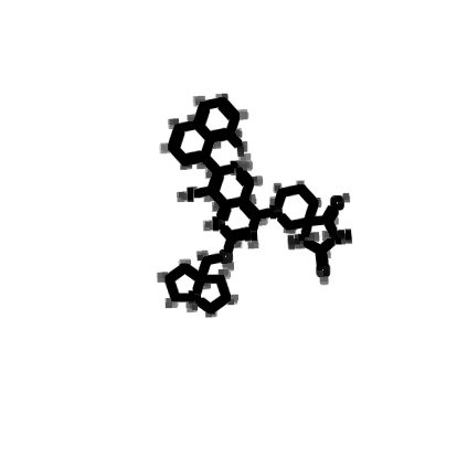 O=C1NC(=O)C2(CCCN(c3nc(OCC45CCCN4CCC5)nc4c(F)c(-c5cccc6cccc(F)c56)ncc34)C2)N1